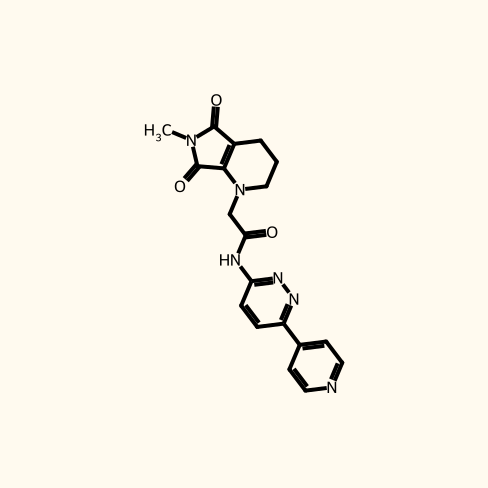 CN1C(=O)C2=C(C1=O)N(CC(=O)Nc1ccc(-c3ccncc3)nn1)CCC2